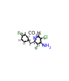 Nc1c(F)c(Cc2ccc(F)cc2)nc(C(=O)O)c1Cl